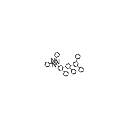 c1ccc(-c2cc(-c3ccccc3)cc(-c3ccc(-c4cc(-c5nc(-c6ccccc6)nc(-c6ccccc6)n5)ccc4-c4ccccc4)cc3-c3ccccc3)c2)cc1